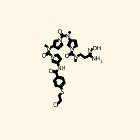 CN(CCC(N)=NO)C(=O)n1ccc(N(C)C(=O)n2ccc(N(C)C(=O)n3ccc(NC(=O)c4ccc(SCCCl)cc4)c3)c2)c1